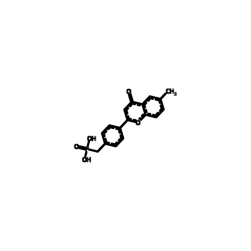 Cc1ccc2oc(-c3ccc(CP(=O)(O)O)cc3)cc(=O)c2c1